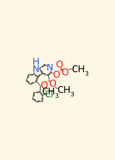 CCOC(=O)Oc1ncc2[nH]c3cccc(Cc4ccccc4Cl)c3c2c1C(OC)OCC